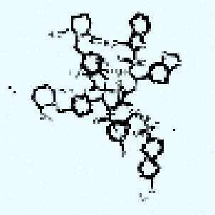 COc1ccc2cc(S(=O)(=O)N[C@H](CC(=O)N[C@@](Cc3ccc(CN4[C@H](C)CCC[C@@H]4C)cc3)(C(=O)N(C)C(C)C)C(c3ccc(CN4[C@H](C)CCC[C@@H]4C)cc3)[C@@H](NC(=O)C[C@@H](NS(=O)(=O)c3oc4ccccc4c3C)c3ccc4c(c3)OCO4)C(=O)N(C)C(C)C)c3cccc(F)c3)ccc2c1